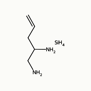 C=CCC(N)CN.[SiH4]